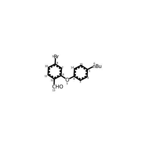 CCCCc1ccc(Oc2cc(Br)ccc2C=O)cc1